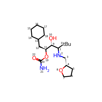 CC(C)(C)C(NC[C@@H]1CCCO1)[C@@H](O)[C@H](CC1CCCCC1)OC(N)=O